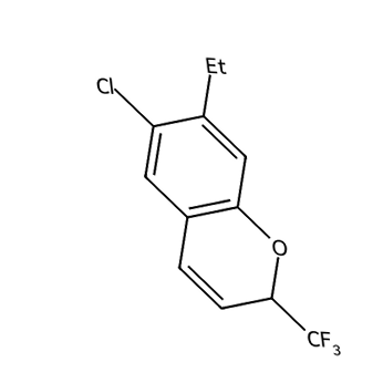 CCc1cc2c(cc1Cl)C=CC(C(F)(F)F)O2